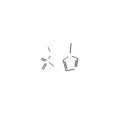 CCCCCCOS(=O)(=O)C(F)(F)F.Cn1ccnc1